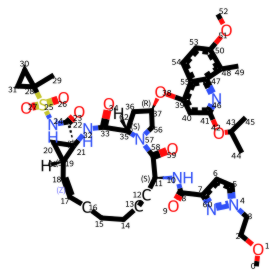 COCCn1ccc(C(=O)N[C@H]2CCCCC/C=C\[C@@H]3C[C@@]3(C(=O)NS(=O)(=O)C3(C)CC3)NC(=O)[C@@H]3C[C@@H](Oc4cc(OC(C)C)nc5c(C)c(OC)ccc45)CN3C2=O)n1